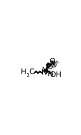 CCCCCCn1cc(C=NO)c(-c2ccc([N+](=O)[O-])o2)n1